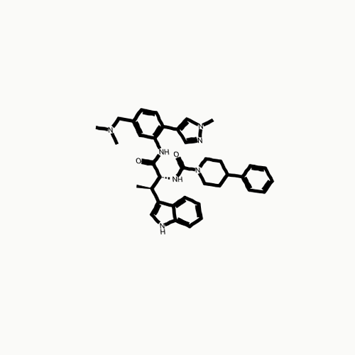 C[C@H](c1c[nH]c2ccccc12)[C@@H](NC(=O)N1CCC(c2ccccc2)CC1)C(=O)Nc1cc(CN(C)C)ccc1-c1cnn(C)c1